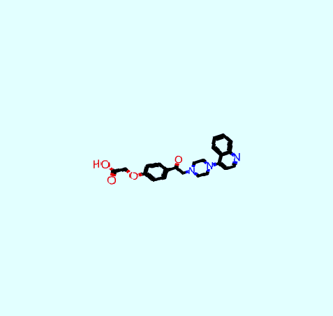 O=C(O)COc1ccc(C(=O)CN2CCN(c3ccnc4ccccc34)CC2)cc1